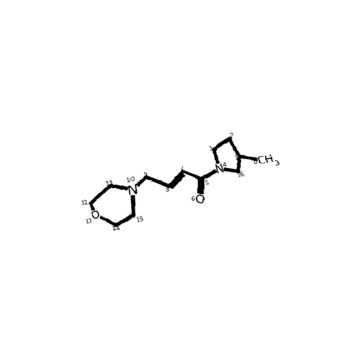 CC1CCN(C(=O)/C=C/CN2CCOCC2)C1